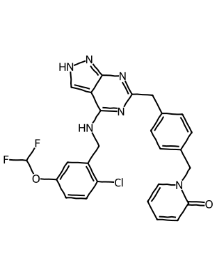 O=c1ccccn1Cc1ccc(Cc2nc(NCc3cc(OC(F)F)ccc3Cl)c3c[nH]nc3n2)cc1